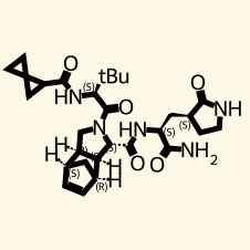 CC(C)(C)[C@H](NC(=O)C1CC12CC2)C(=O)N1C[C@H]2[C@@H]([C@H]1C(=O)N[C@@H](C[C@@H]1CCNC1=O)C(N)=O)[C@H]1C=C[C@@H]2C1